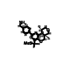 CSC(C)(C)c1nc(-c2ccc(CN)cc2)nc2c1OC[C@]1(C)COC[C@@H](C)N21